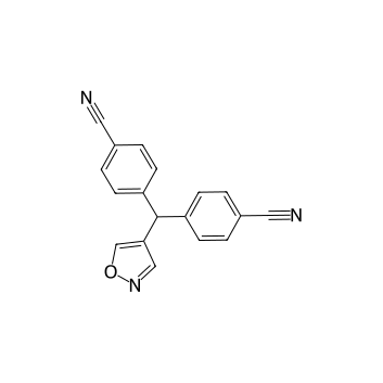 N#Cc1ccc(C(c2ccc(C#N)cc2)c2cnoc2)cc1